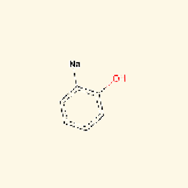 Oc1cccc[c]1[Na]